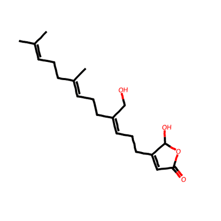 CC(C)=CCC/C(C)=C/CC/C(=C/CCC1=CC(=O)OC1O)CO